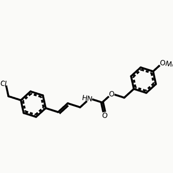 COc1ccc(COC(=O)NC/C=C/c2ccc(CCl)cc2)cc1